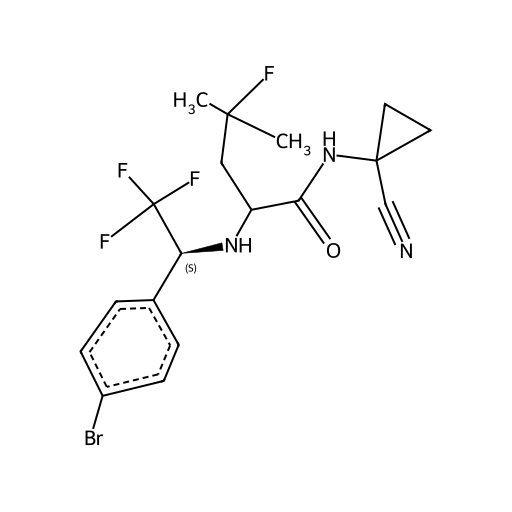 CC(C)(F)CC(N[C@@H](c1ccc(Br)cc1)C(F)(F)F)C(=O)NC1(C#N)CC1